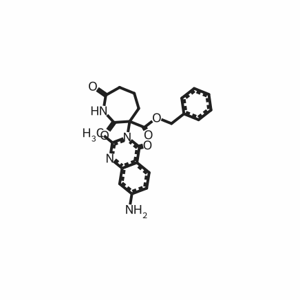 Cc1nc2cc(N)ccc2c(=O)n1C1(C(=O)OCc2ccccc2)CCCC(=O)NC1=O